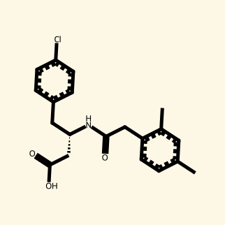 Cc1ccc(CC(=O)N[C@H](CC(=O)O)Cc2ccc(Cl)cc2)c(C)c1